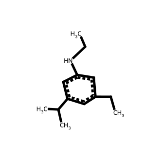 CCNc1cc(CC)cc(C(C)C)c1